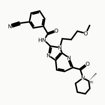 COCCCn1c(NC(=O)c2cccc(C#N)c2)nc2ccc(C(=O)N3CCCC[C@H]3C)nc21